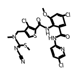 COc1cc(Cl)cc(C(=O)Nc2ccc(Cl)cn2)c1NC(=O)c1scc(CN(C)C(=NC#N)SC)c1Cl